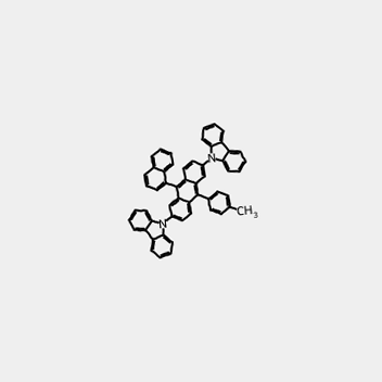 Cc1ccc(-c2c3cc(-n4c5ccccc5c5ccccc54)ccc3c(-c3cccc4ccccc34)c3cc(-n4c5ccccc5c5ccccc54)ccc23)cc1